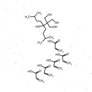 C=CC(=O)O.C=CC(=O)O.C=CC(=O)O.C=CC(=O)O.C=CC(=O)O.CC(C)CCC(O)(CCC(C)C)C(CO)(CO)CO